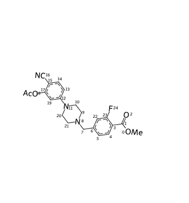 COC(=O)c1ccc(CN2CCN(c3ccc(C#N)c(OC(C)=O)c3)CC2)cc1F